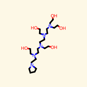 OCCN(CCO)CCN(CCO)CCN(CCO)CCN(CCO)CCN1CCCC1